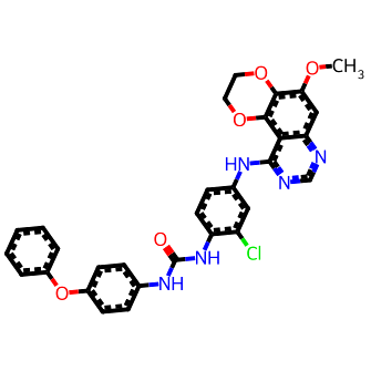 COc1cc2ncnc(Nc3ccc(NC(=O)Nc4ccc(Oc5ccccc5)cc4)c(Cl)c3)c2c2c1OCCO2